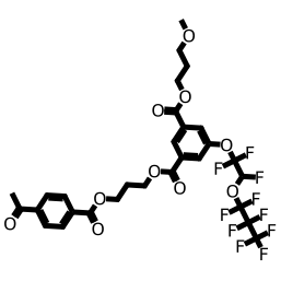 COCCCOC(=O)c1cc(OC(F)(F)C(F)OC(F)(F)C(F)(F)C(F)(F)F)cc(C(=O)OCCCOC(=O)c2ccc(C(C)=O)cc2)c1